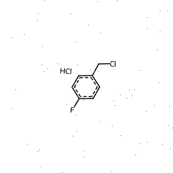 Cl.Fc1ccc(CCl)cc1